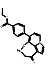 CCOC(=O)c1ccc(-c2ccn3ccc4c3c2CNCC4=O)cc1